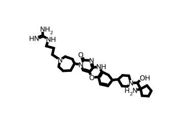 N=C(N)NCCCN1CCCC(n2cc3c(nc2=O)NC2=C(C=CC(C4CCN(C(O)C5(N)CCCC5)CC4)C2)O3)CC1